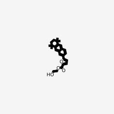 CC1(C)CCC(C)(C)c2cc3cc(-c4ccc(C(=O)OCCO)o4)ccc3cc21